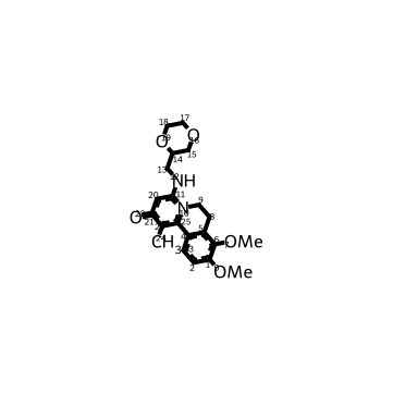 COc1ccc2c(c1OC)CCn1c(NCC3COCCO3)cc(=O)c(C)c1-2